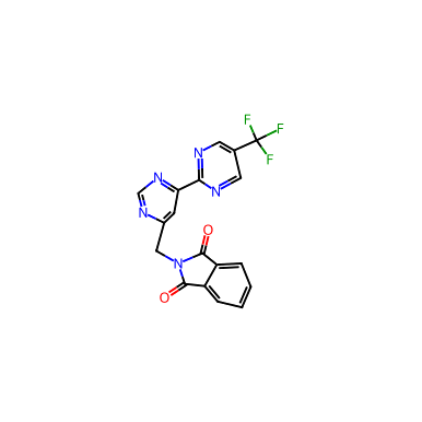 O=C1c2ccccc2C(=O)N1Cc1cc(-c2ncc(C(F)(F)F)cn2)ncn1